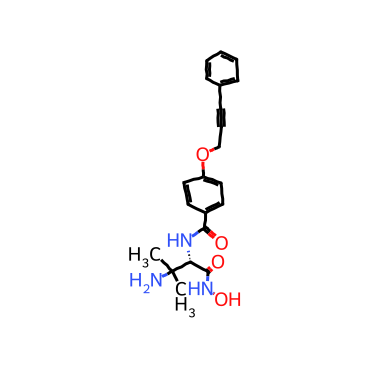 CC(C)(N)[C@H](NC(=O)c1ccc(OCC#Cc2ccccc2)cc1)C(=O)NO